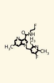 Cc1cnc2c(C(=O)NCCF)cn(Cc3cc(F)c(C)nc3C)c2c1